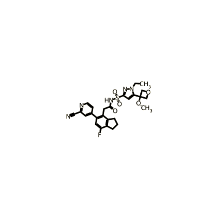 CCn1nc(S(=O)(=O)NC(=O)Cc2c(-c3ccnc(C#N)c3)cc(F)c3c2CCC3)cc1C1(OC)COC1